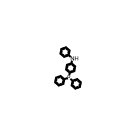 c1ccc(Nc2ccc(P(c3ccccc3)c3ccccc3)cc2)cc1